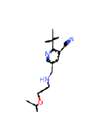 CC(C)OCCNCc1cnc(C(C)(C)C)c(C#N)c1